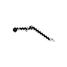 CCCCCCCCCCCCCCCCCC1OCC(COC(=O)CCCCCOCc2ccccc2)O1